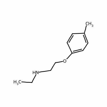 CCNCCOc1ccc(C)cc1